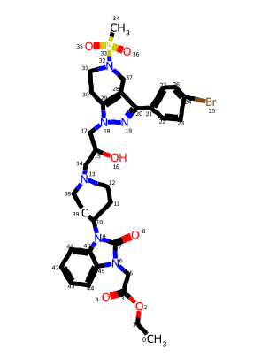 CCOC(=O)Cn1c(=O)n(C2CCN(CC(O)Cn3nc(-c4ccc(Br)cc4)c4c3CCN(S(C)(=O)=O)C4)CC2)c2ccccc21